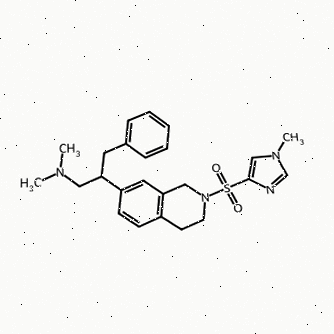 CN(C)CC(Cc1ccccc1)c1ccc2c(c1)CN(S(=O)(=O)c1cn(C)cn1)CC2